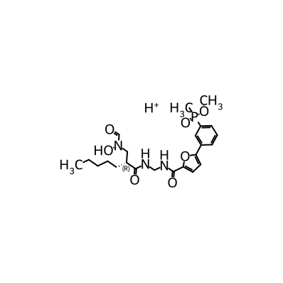 CCCCC[C@H](CN(O)C=O)C(=O)NCNC(=O)c1ccc(-c2cccc(P(C)(=O)OC)c2)o1.[H+]